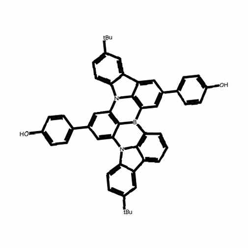 CC(C)(C)c1ccc2c(c1)c1cccc3c1n2-c1cc(-c2ccc(O)cc2)cc2c1B3c1cc(-c3ccc(O)cc3)cc3c4cc(C(C)(C)C)ccc4n-2c13